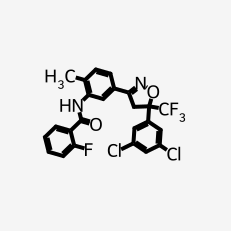 Cc1ccc(C2=NOC(c3cc(Cl)cc(Cl)c3)(C(F)(F)F)C2)cc1NC(=O)c1ccccc1F